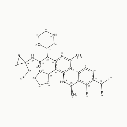 Cc1nc(N[C@H](C)c2cccc(C(F)F)c2F)c(C2OCCO2)c(C(C(=O)NC2(CF)CC2)C2CNCCO2)n1